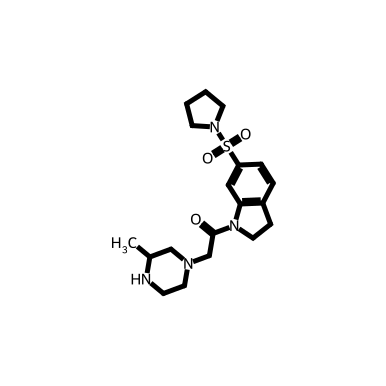 CC1CN(CC(=O)N2CCc3ccc(S(=O)(=O)N4CCCC4)cc32)CCN1